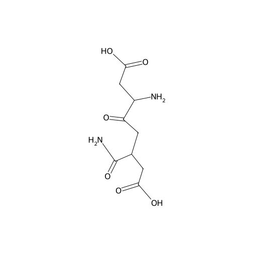 NC(=O)C(CC(=O)O)CC(=O)C(N)CC(=O)O